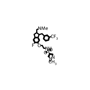 CNCC1Cc2cc(F)c(OCCNS(=O)(=O)c3cnn(C)c3)cc2C1Cc1cccc(C(F)(F)F)c1